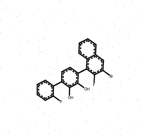 Oc1c(-c2ccccc2F)ccc(-c2c(F)c(Br)cc3ccccc23)c1O